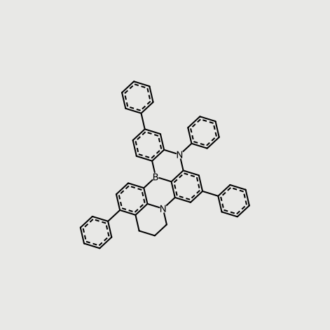 c1ccc(-c2ccc3c(c2)N(c2ccccc2)c2cc(-c4ccccc4)cc4c2B3c2ccc(-c3ccccc3)c3c2N4CCC3)cc1